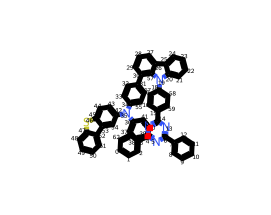 c1ccc(-c2nc(-c3ccccc3)nc(-c3ccc(-n4c5ccccc5c5cccc(-c6ccc(N(c7ccccc7)c7ccc8sc9ccccc9c8c7)cc6)c54)cc3)n2)cc1